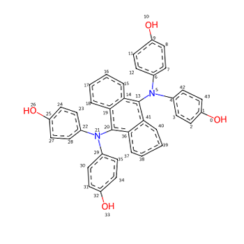 Oc1ccc(N(c2ccc(O)cc2)c2c3ccccc3c(N(c3ccc(O)cc3)c3ccc(O)cc3)c3ccccc23)cc1